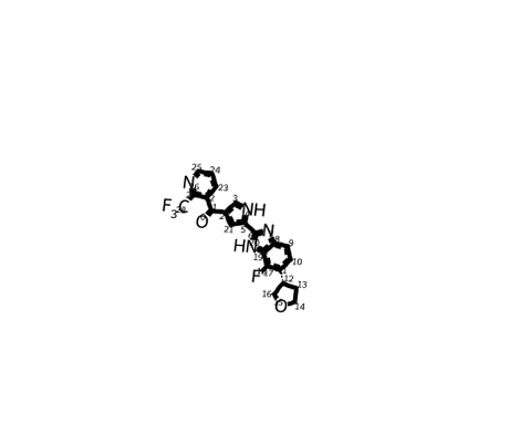 O=C(c1c[nH]c(-c2nc3ccc([C@@H]4CCOC4)c(F)c3[nH]2)c1)c1cccnc1C(F)(F)F